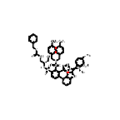 COc1ccc(CN(Cc2ccc(OC)cc2)S(=O)(=O)c2c(S(=O)(=O)N[C@H](CO)CNC(=O)OCc3ccccc3)ccc(-c3cccc4[nH]c(CN(C(=O)O)C(C)(C)C)nc34)c2-c2nnn(Cc3ccc(OC)cc3)n2)cc1